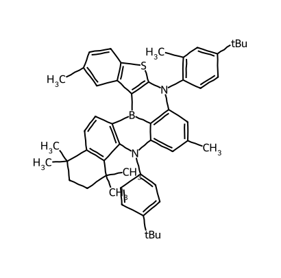 Cc1cc2c3c(c1)N(c1ccc(C(C)(C)C)cc1)c1c(ccc4c1C(C)(C)CCC4(C)C)B3c1c(sc3ccc(C)cc13)N2c1ccc(C(C)(C)C)cc1C